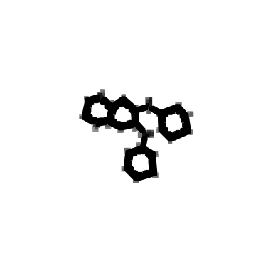 c1ccc(Nc2cc3nccnc3cc2Nc2ccccc2)cc1